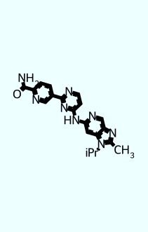 Cc1nc2cnc(Nc3ccnc(-c4ccc(C(N)=O)nc4)n3)cc2n1C(C)C